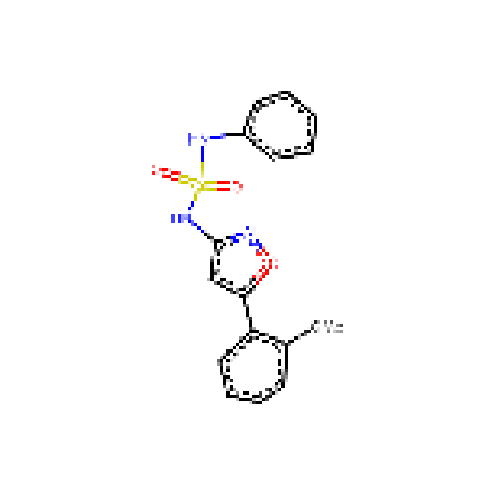 COc1ccccc1-c1cc(NS(=O)(=O)Nc2ccccc2)no1